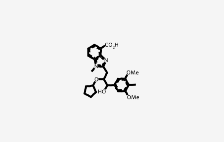 COc1cc(C(O)C(Cc2nc3c(C(=O)O)cccc3n2C)OC2CCCC2)cc(OC)c1C